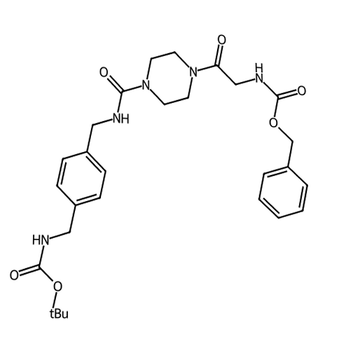 CC(C)(C)OC(=O)NCc1ccc(CNC(=O)N2CCN(C(=O)CNC(=O)OCc3ccccc3)CC2)cc1